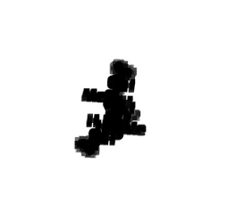 COC(=O)[C@H](CCCCNC(=O)OCC1c2ccccc2-c2ccccc21)NC(=O)[C@@H](N)CSSC[C@H](N)C(=O)N[C@@H](CCCCNC(=O)OCC1c2ccccc2-c2ccccc21)C(=O)OC.Cl.Cl